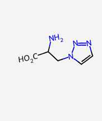 NC(Cn1ccnn1)C(=O)O